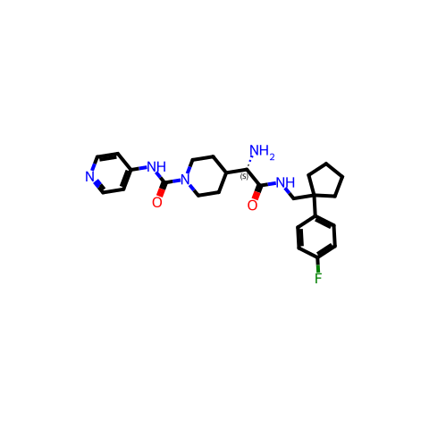 N[C@H](C(=O)NCC1(c2ccc(F)cc2)CCCC1)C1CCN(C(=O)Nc2ccncc2)CC1